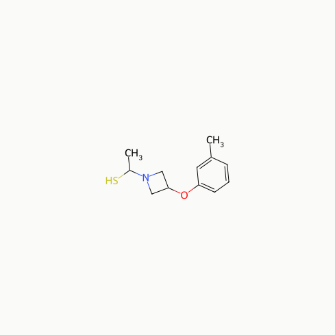 Cc1cccc(OC2CN(C(C)S)C2)c1